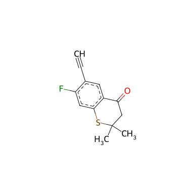 C#Cc1cc2c(cc1F)SC(C)(C)CC2=O